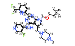 CN1CCN(Cc2cn(COCC[Si](C)(C)C)c3nc(-c4cccc(C(F)F)n4)nc(Nc4ccncc4F)c23)CC1